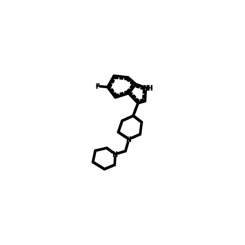 Fc1ccc2[nH]cc(C3CCN(CN4CCCCC4)CC3)c2c1